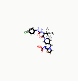 CC(C)(C)C(NC(=O)Nc1ccc(Cl)cc1)C(=O)N1CCC(Cn2ccs/c2=N\C(=O)O)CC1